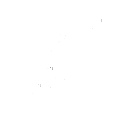 COCCNS(=O)(=O)CCNC(=O)N(CCCl)N=O